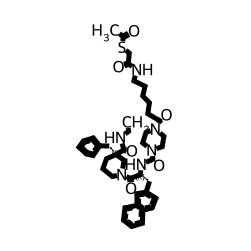 CCNC(=O)[C@]1(Cc2ccccc2)CCCN(C(=O)[C@@H](Cc2ccc3ccccc3c2)NC(=O)N2CCN(C(=O)CCCCCNC(=O)CSC(C)=O)CC2)C1